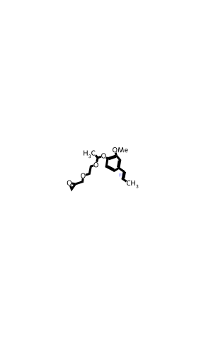 C/C=C/c1ccc(OC(C)OCCOCC2CO2)c(OC)c1